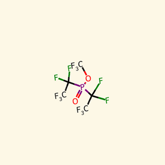 O=P(OC(F)(F)F)(C(F)(F)C(F)(F)F)C(F)(F)C(F)(F)F